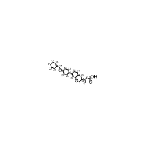 CN(CC(=O)O)C1COc2cc(-c3ccc(OCC4=CCCC=C4)cc3)ccc2C1